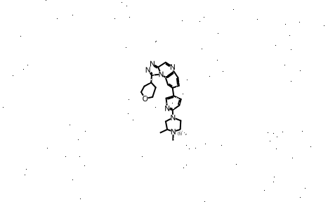 CC1CN(c2ccc(-c3ccc4ncc5nnc(C6CCOCC6)n5c4c3)cn2)C[C@H](C)N1C